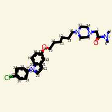 CN(C)C(=O)CN1CCN(CCCCCCOc2ccc3c(ccn3-c3ccc(Cl)cc3)c2)CC1